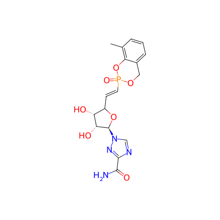 Cc1cccc2c1OP(=O)(/C=C/C1O[C@@H](n3cnc(C(N)=O)n3)[C@H](O)[C@@H]1O)OC2